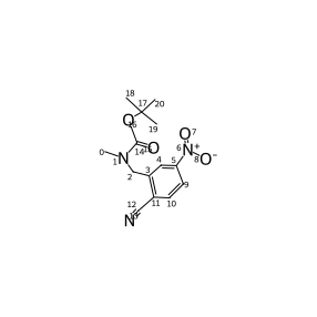 CN(Cc1cc([N+](=O)[O-])ccc1C#N)C(=O)OC(C)(C)C